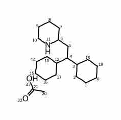 C1CCC(C(CC2CCCCN2)C2CCCCC2)CC1.CC(=O)O